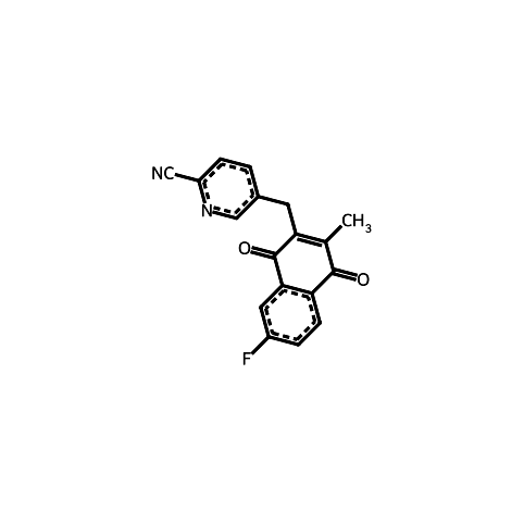 CC1=C(Cc2ccc(C#N)nc2)C(=O)c2cc(F)ccc2C1=O